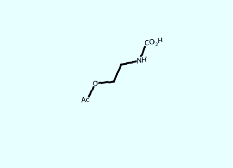 CC(=O)OCCNC(=O)O